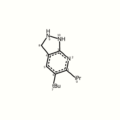 CC(C)c1nc2c(cc1C(C)(C)C)CNN2